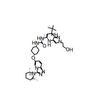 C[C@@H]1CCC[C@H](C)N1c1nnc2ccc(O[C@H]3CC[C@H](NC(=O)N/C(=C/C(=N)C(C)(C)C)Nc4cnn(CCO)c4)CC3)cn12